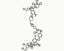 CCN(C)S(=O)(=O)Nc1ccc(F)c(Oc2ccc3ncn(C4CC5(C4)CN(CC4CCN(c6cc7c(cc6F)c(N6CCC(=O)NC6=O)nn7C)CC4)C5)c(=O)c3c2)c1C#N